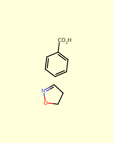 C1=NOCC1.O=C(O)c1ccccc1